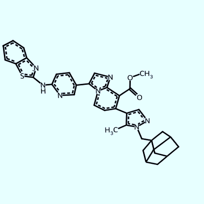 COC(=O)c1c(-c2cnn(CC34CC5CC(CC(C5)C3)C4)c2C)ccn2c(-c3ccc(Nc4nc5ccccc5s4)nc3)cnc12